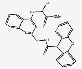 COC(=O)[C@@H](Nc1nc(CNC(=O)C2c3ccccc3Oc3ccccc32)nc2ccccc12)C(C)C